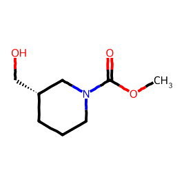 COC(=O)N1CCC[C@H](CO)C1